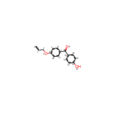 C=CCOc1ccc(C(=O)c2ccc(O)cc2)cc1